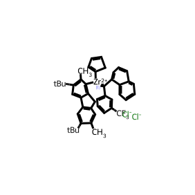 Cc1cc2c(cc1C(C)(C)C)-c1cc(C(C)(C)C)c(C)[c](/[Zr+2]([C]3=CC=CC3)=[C](\c3cccc(C(F)(F)F)c3)c3cccc4ccccc34)c1C2.[Cl-].[Cl-]